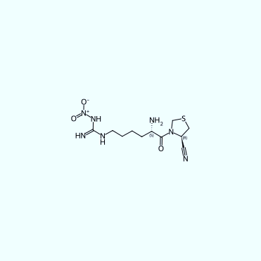 N#C[C@@H]1CSCN1C(=O)[C@@H](N)CCCCNC(=N)N[N+](=O)[O-]